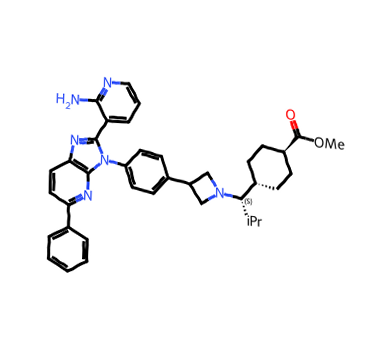 COC(=O)[C@H]1CC[C@H]([C@H](C(C)C)N2CC(c3ccc(-n4c(-c5cccnc5N)nc5ccc(-c6ccccc6)nc54)cc3)C2)CC1